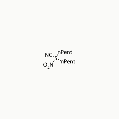 CCCCCS(C#N)(CCCCC)[N+](=O)[O-]